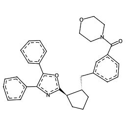 O=C(c1cccc(C[C@@H]2CCC[C@H]2c2nc(-c3ccccc3)c(-c3ccccc3)o2)c1)N1CCOCC1